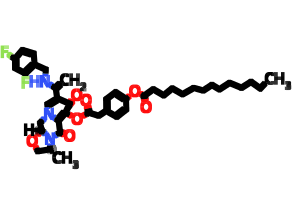 C=C(NCc1ccc(F)cc1F)c1cn2c(c(OC(=O)Cc3ccc(OC(=O)CCCCCCCCCCCCC)cc3)c1=O)C(=O)N1[C@@H](C)CO[C@@H]1C2